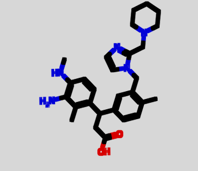 CNc1ccc(C(CC(=O)O)c2ccc(C)c(Cn3ccnc3CN3CCCCC3)c2)c(C)c1N